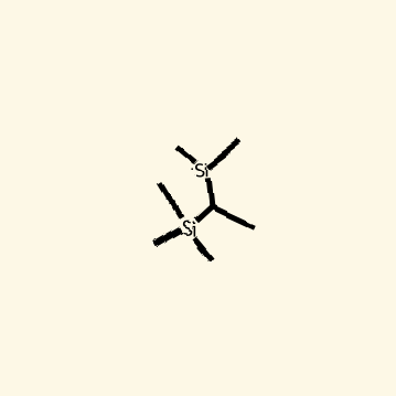 CC([Si](C)C)[Si](C)(C)C